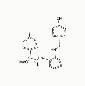 CO[C@H](c1ccc(C)cc1)[C@H](C)Nc1ccccc1NCc1ccc(C#N)cc1